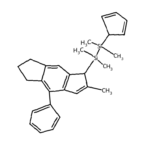 CC1=Cc2c(cc3c(c2-c2ccccc2)CCC3)C1[Si](C)(C)[Si](C)(C)C1C=CC=C1